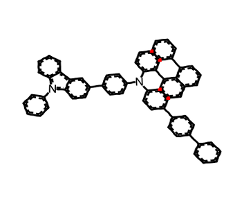 c1ccc(-c2ccc(-c3ccc(N(c4ccc(-c5ccc6c(c5)c5ccccc5n6-c5ccccc5)cc4)c4ccccc4-c4cccc5cccc(-c6ccccc6)c45)cc3)cc2)cc1